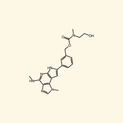 CNc1nc2[nH]c(-c3cccc(COC(=O)N(C)CCO)c3)cc2c2c1ncn2C